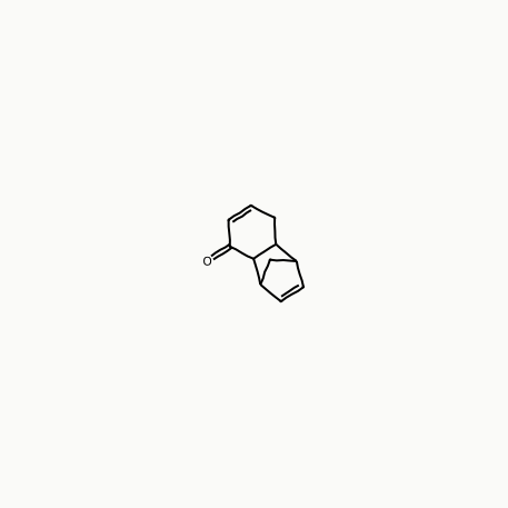 O=C1C=CCC2C3C=CC(C3)C12